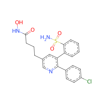 NS(=O)(=O)c1ccccc1-c1cc(CCCC(=O)NO)cnc1-c1ccc(Cl)cc1